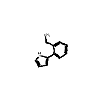 NCc1ccccc1-c1ccc[nH]1